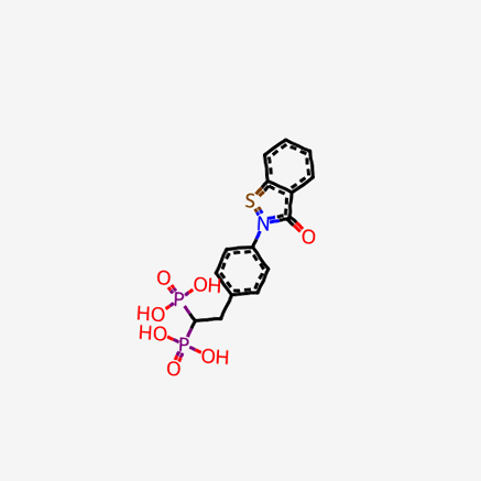 O=c1c2ccccc2sn1-c1ccc(CC(P(=O)(O)O)P(=O)(O)O)cc1